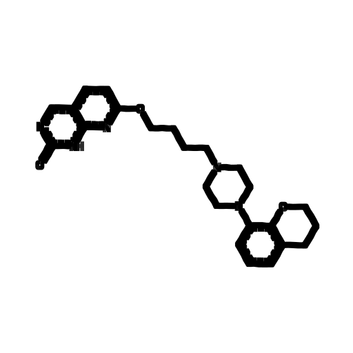 O=c1ncc2ccc(OCCCCN3CCN(c4cccc5c4OCCC5)CC3)nc2[nH]1